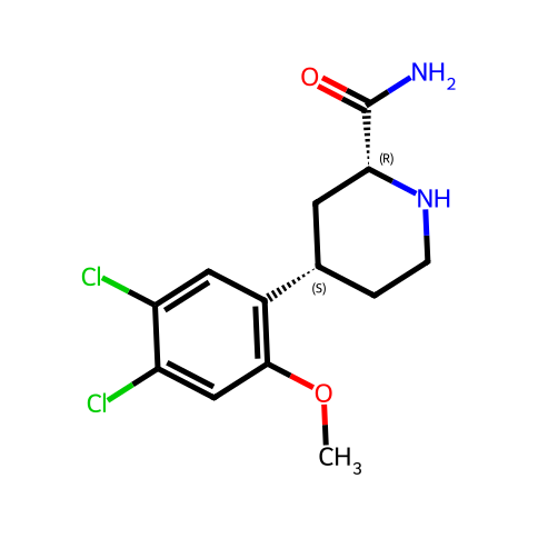 COc1cc(Cl)c(Cl)cc1[C@H]1CCN[C@@H](C(N)=O)C1